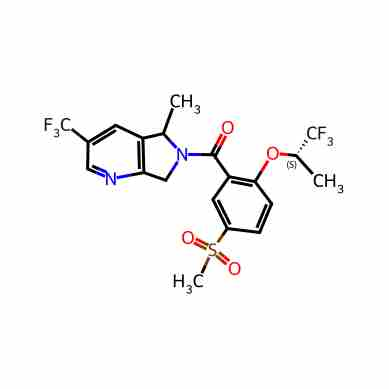 CC1c2cc(C(F)(F)F)cnc2CN1C(=O)c1cc(S(C)(=O)=O)ccc1O[C@@H](C)C(F)(F)F